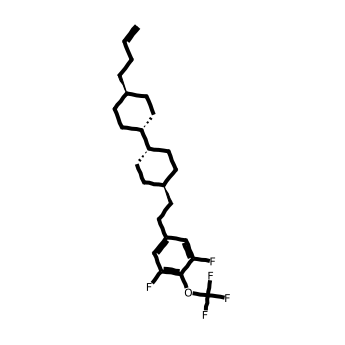 C=CCC[C@H]1CC[C@H]([C@H]2CC[C@H](CCc3cc(F)c(OC(F)(F)F)c(F)c3)CC2)CC1